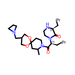 CC(C)C[C@@H]1NCCN([C@@H](CC(C)C)C(=O)N2CCC3(CC2C)OCC(CN2CCC2)CO3)C1=O